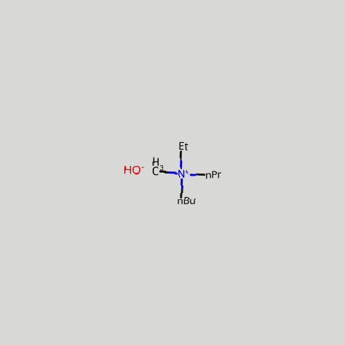 CCCC[N+](C)(CC)CCC.[OH-]